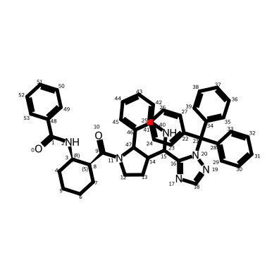 O=C(N[C@@H]1CCCC[C@@H]1C(=O)N1CCC2C(c3ncnn3C(c3ccccc3)(c3ccccc3)c3ccccc3)Nc3ccccc3C21)c1ccccc1